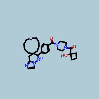 O=C(c1ccc(C2Nn3ccnc3CC23CCCCCCCCC3)cc1)N1CCN(C(=O)C2(O)CCC2)CC1